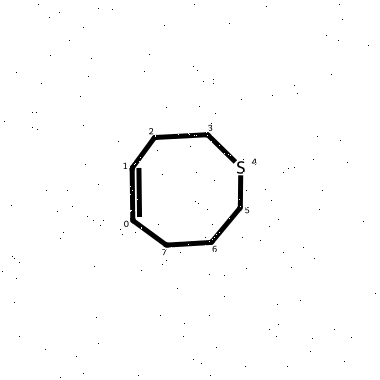 C1=CCCSCCC1